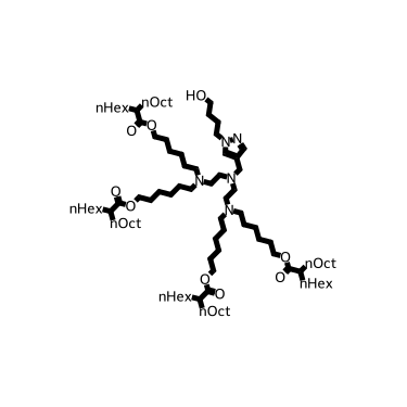 CCCCCCCCC(CCCCCC)C(=O)OCCCCCCN(CCCCCCOC(=O)C(CCCCCC)CCCCCCCC)CCN(CCN(CCCCCCOC(=O)C(CCCCCC)CCCCCCCC)CCCCCCOC(=O)C(CCCCCC)CCCCCCCC)Cc1cnn(CCCCO)c1